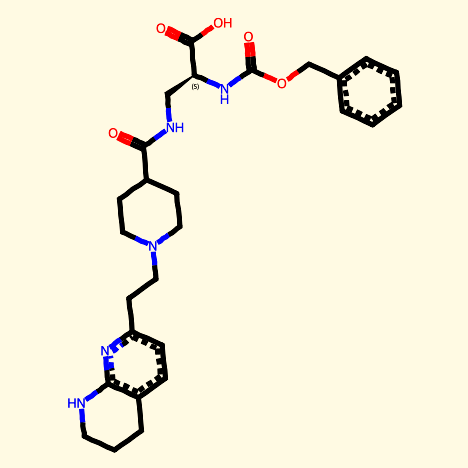 O=C(N[C@@H](CNC(=O)C1CCN(CCc2ccc3c(n2)NCCC3)CC1)C(=O)O)OCc1ccccc1